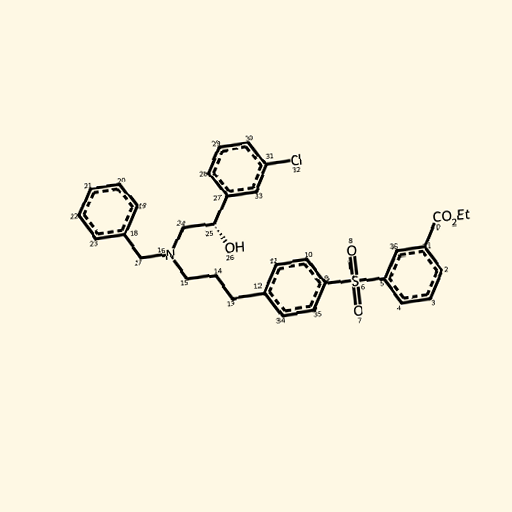 CCOC(=O)c1cccc(S(=O)(=O)c2ccc(CCCN(Cc3ccccc3)C[C@@H](O)c3cccc(Cl)c3)cc2)c1